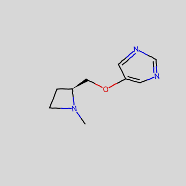 CN1CC[C@H]1COc1cncnc1